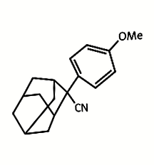 COc1ccc(C2(C#N)C3CC4CC(C3)CC2C4)cc1